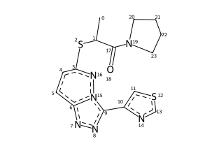 CC(Sc1ccc2nnc(-c3cscn3)n2n1)C(=O)N1CCCC1